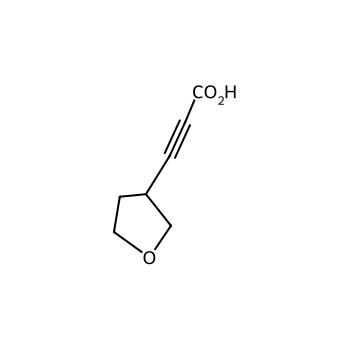 O=C(O)C#CC1CCOC1